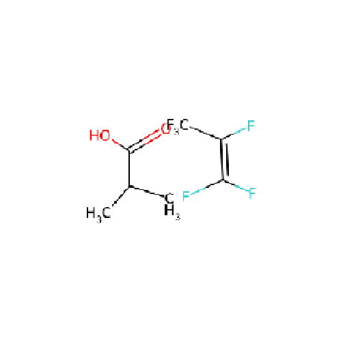 CC(C)C(=O)O.FC(F)=C(F)C(F)(F)F